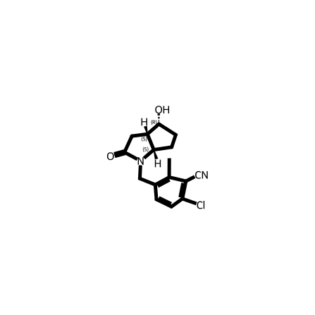 Cc1c(CN2C(=O)C[C@@H]3[C@H](O)CC[C@@H]32)ccc(Cl)c1C#N